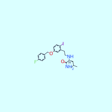 CC(C)C[C@H](NCCc1cc(OCc2ccc(F)cc2)ccc1I)C(N)=O